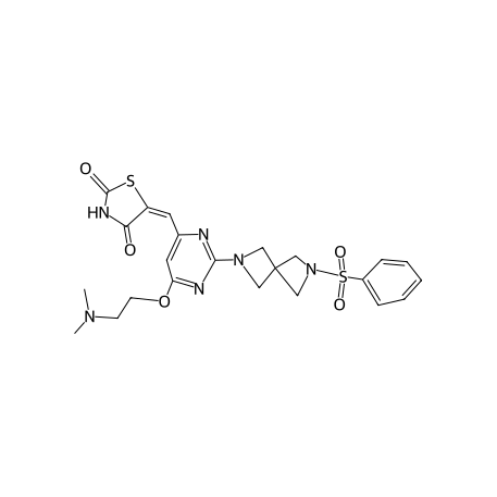 CN(C)CCOc1cc(/C=C2/SC(=O)NC2=O)nc(N2CC3(C2)CN(S(=O)(=O)c2ccccc2)C3)n1